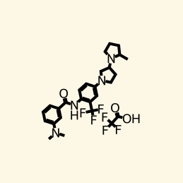 CC1CCCN1C1CCN(c2ccc(NC(=O)c3cccc(N(C)C)c3)c(C(F)(F)F)c2)C1.O=C(O)C(F)(F)F